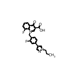 CCCn1cc(-c2ccc(Cn3cc(C(=O)O)c(=O)c4cccc(F)c43)c(F)c2)cn1